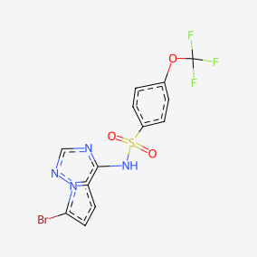 O=S(=O)(Nc1ncnn2c(Br)ccc12)c1ccc(OC(F)(F)F)cc1